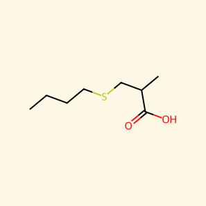 CCCCSCC(C)C(=O)O